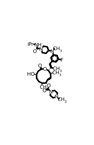 C/C(=C\c1cc(F)cc(N(C)C2CCN(C(=O)NC(C)C)CC2)c1)[C@H]1OC(=O)C[C@H](O)CC[C@H](C)[C@@H](OC(=O)N2CCN(C)CC2)/C=C/[C@@H]1C